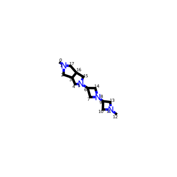 CN1CC2CN(C3CN(C4CN(C)C4)C3)CC2C1